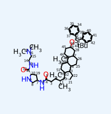 C[C@H](CCC(=O)NC1CN[C@H](C(=O)NCCN(C)C)C1)[C@H]1CCC2C3CCC4C[C@H](O[Si](c5ccccc5)(c5ccccc5)C(C)(C)C)CC[C@]4(C)C3CC[C@@]21C